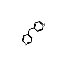 [CH](c1ccncc1)c1ccncc1